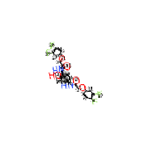 O=C(COc1ccc(F)c(F)c1)NC12CCC(NC(=O)COc3ccc(F)c(F)c3)(CC1)[C@@H](O)C2